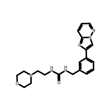 O=C(NCCN1CCOCC1)NCc1cccc(-c2cn3ncccc3n2)c1